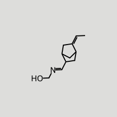 CC=C1CC2CC1CC2C=NCO